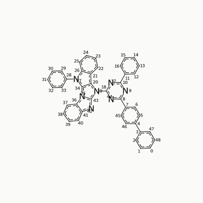 c1ccc(-c2ccc(-c3nc(-c4ccccc4)nc(-n4c5c6ccccc6n(-c6ccccc6)c5n5c6ccccc6nc45)n3)cc2)cc1